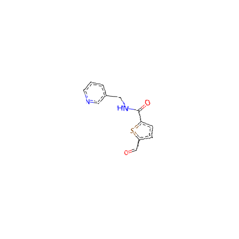 O=Cc1ccc(C(=O)NCc2cccnc2)s1